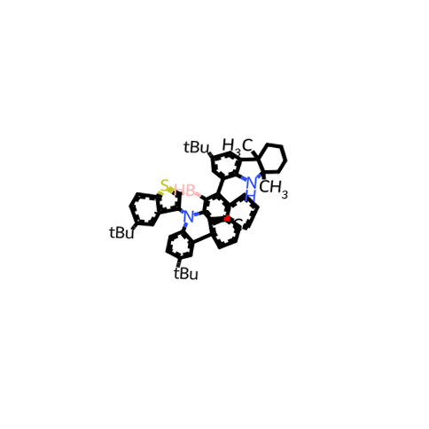 CC(C)(C)c1ccc(N2c3cc4ccccc4c(-c4cc(C(C)(C)C)cc5c4NC4(C)CCCCC54C)c3Bc3sc4ccc(C(C)(C)C)cc4c32)c(-c2ccccc2)c1